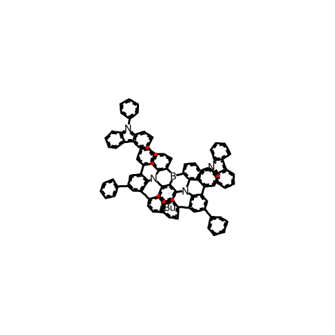 CC(C)(C)c1cc2c3c(c1)N(c1c(-c4ccccc4)cc(-c4ccccc4)cc1-c1ccccc1)c1cc(-n4c5ccccc5c5ccccc54)ccc1B3c1ccc(-c3ccc4c(c3)c3ccccc3n4-c3ccccc3)cc1N2c1c(-c2ccccc2)cc(-c2ccccc2)cc1-c1ccccc1